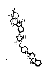 O=C1CCN(N2C(=O)c3ccc(N4C[C@H]5C[C@@H]4CN5CC4CCN(c5ccn6c(n5)nc5ccccc56)CC4)cc3C2=O)C(=O)N1